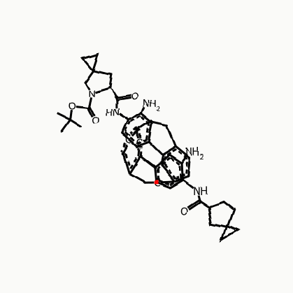 CC(C)(C)OC(=O)N1CC2(CC2)C[C@H]1C(=O)Nc1ccc(-c2cc3ccc2CCc2ccc(c(-c4ccc(NC(=O)C5CCC6(CC6)C5)c(N)c4)c2)CC3)cc1N